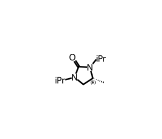 CC(C)N1C[C@@H](C)N(C(C)C)C1=O